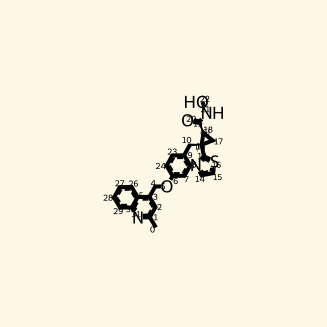 Cc1cc(COc2ccc(C[C@]3(c4nccs4)C[C@@H]3C(=O)NO)cc2)c2ccccc2n1